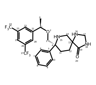 C[C@@H](OC[C@@]1(c2ccccc2)CCC2(CN1)NCNC2=O)c1cc(C(F)(F)F)cc(C(F)(F)F)c1